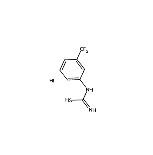 I.N=C(S)Nc1cccc(C(F)(F)F)c1